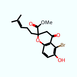 COC(=O)C1(CCC=C(C)C)CC(=O)c2c(ccc(O)c2Br)O1